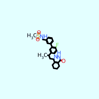 CC(Cc1n[nH]c(=O)c2c1CCCC2)c1ccc(F)c(-c2cccc(CNS(C)(=O)=O)c2)c1